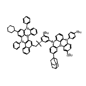 CC(C)(C)c1ccc(N2c3ccc(C(C)(C)C)cc3B3c4cc(C56CC7CC(CC(C7)C5)C6)ccc4N(c4cc(C(C)(C)C)cc(C(C)(C)Cc5cc6c(c7ccccc57)N(c5ccccc5)c5cc(C7CCCCC7)cc7c5B6c5ccccc5N7c5ccccc5)c4)c4cccc2c43)cc1